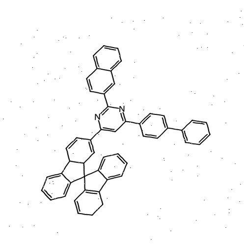 C1=CC2=C(CC1)c1ccccc1C21c2ccccc2C2C=CC(c3cc(-c4ccc(-c5ccccc5)cc4)nc(-c4ccc5ccccc5c4)n3)=CC21